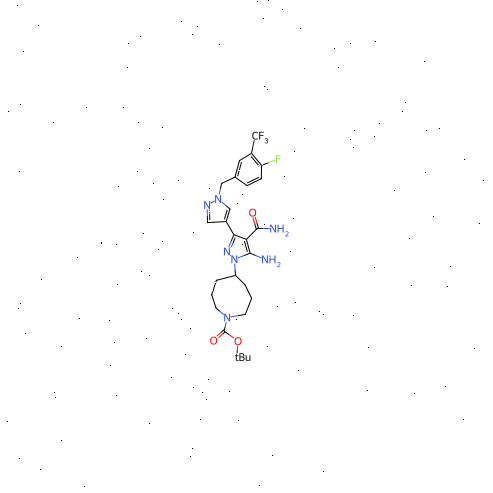 CC(C)(C)OC(=O)N1CCCC(n2nc(-c3cnn(Cc4ccc(F)c(C(F)(F)F)c4)c3)c(C(N)=O)c2N)CCC1